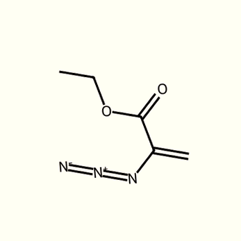 C=C(N=[N+]=[N-])C(=O)OCC